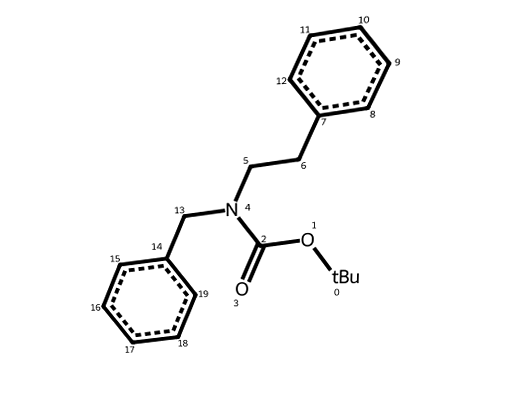 CC(C)(C)OC(=O)N(CCc1ccccc1)Cc1ccccc1